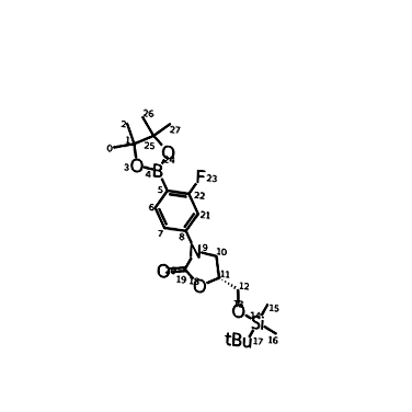 CC1(C)OB(c2ccc(N3C[C@H](CO[Si](C)(C)C(C)(C)C)OC3=O)cc2F)OC1(C)C